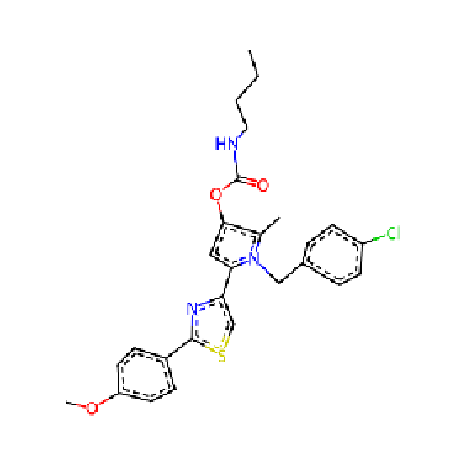 CCCCNC(=O)Oc1cc(-c2csc(-c3ccc(OC)cc3)n2)n(Cc2ccc(Cl)cc2)c1C